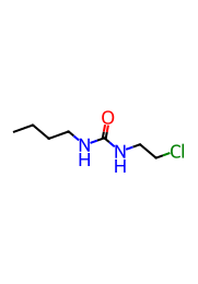 CCCCNC(=O)NCCCl